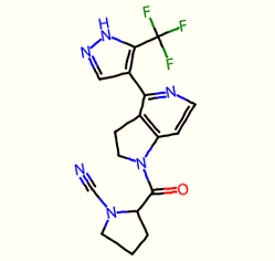 N#CN1CCCC1C(=O)N1CCc2c1ccnc2-c1cn[nH]c1C(F)(F)F